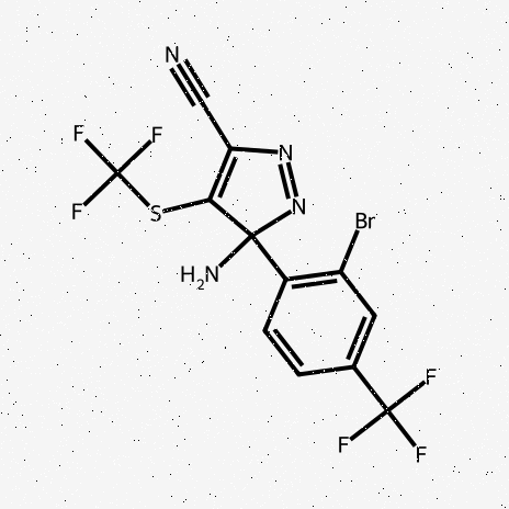 N#CC1=C(SC(F)(F)F)C(N)(c2ccc(C(F)(F)F)cc2Br)N=N1